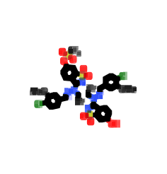 COc1cc(/C=N/N(CC(C)C)C2=NS(=O)(=O)c3cc(O)ccc32)ccc1Cl.COc1cc(/C=N/N(CC(C)C)C2=NS(=O)(=O)c3cc(OS(=O)(=O)C(F)(F)F)ccc32)ccc1Cl